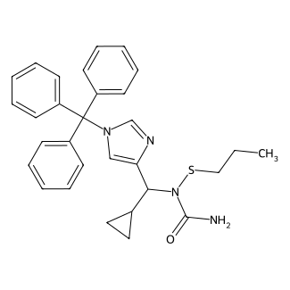 CCCSN(C(N)=O)C(c1cn(C(c2ccccc2)(c2ccccc2)c2ccccc2)cn1)C1CC1